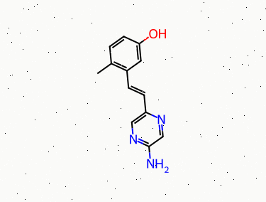 Cc1ccc(O)cc1/C=C/c1cnc(N)cn1